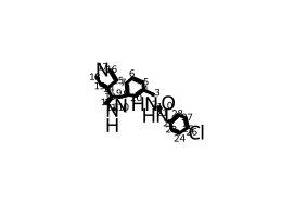 O=C(NCc1cccc(-c2n[nH]cc2-c2ccncc2)c1)Nc1ccc(Cl)cc1